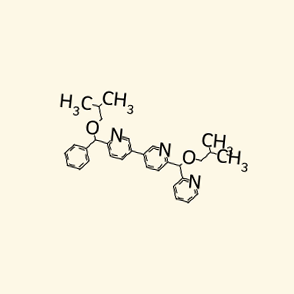 CC(C)COC(c1ccccc1)c1ccc(-c2ccc(C(OCC(C)C)c3ccccn3)nc2)cn1